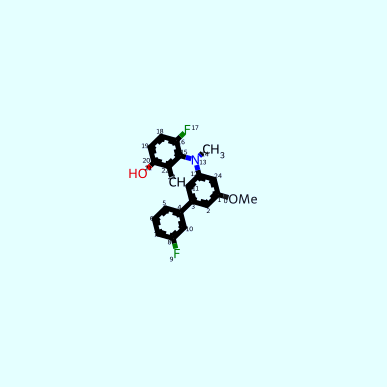 COc1cc(-c2cccc(F)c2)cc(N(C)c2c(F)ccc(O)c2C)c1